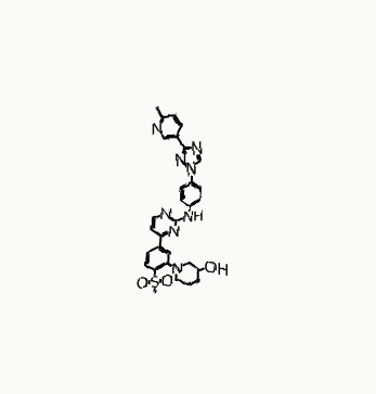 Cc1ccc(-c2ncn(-c3ccc(Nc4nccc(-c5ccc(S(C)(=O)=O)c(N6CCCC(O)C6)c5)n4)cc3)n2)cn1